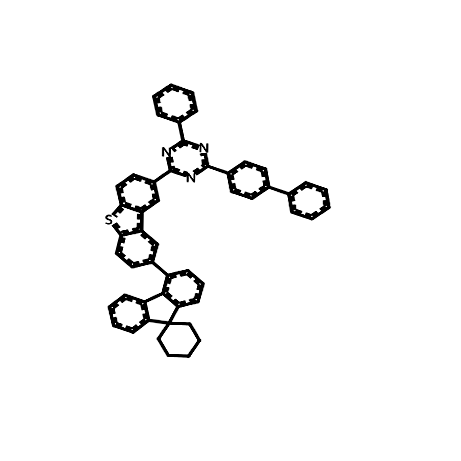 c1ccc(-c2ccc(-c3nc(-c4ccccc4)nc(-c4ccc5sc6ccc(-c7cccc8c7-c7ccccc7C87CCCCC7)cc6c5c4)n3)cc2)cc1